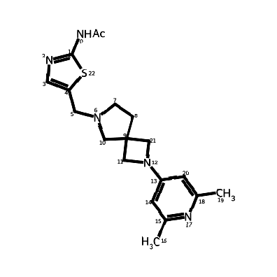 CC(=O)Nc1ncc(CN2CCC3(C2)CN(c2cc(C)nc(C)c2)C3)s1